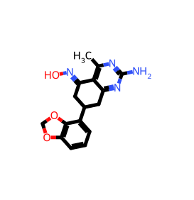 Cc1nc(N)nc2c1C(=NO)CC(c1cccc3c1OCO3)C2